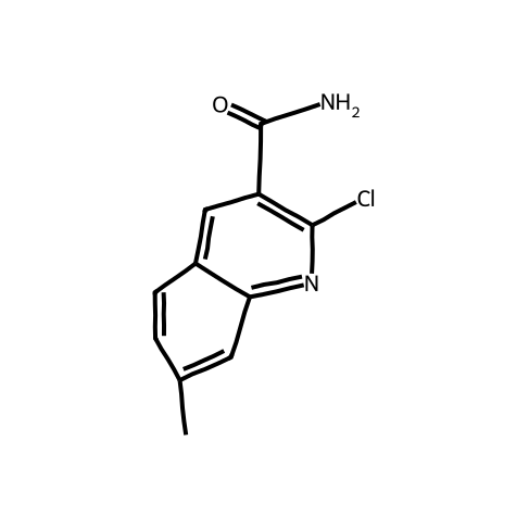 Cc1ccc2cc(C(N)=O)c(Cl)nc2c1